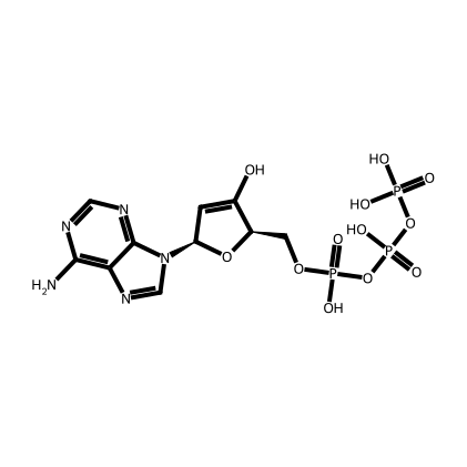 Nc1ncnc2c1ncn2[C@H]1C=C(O)[C@@H](COP(=O)(O)OP(=O)(O)OP(=O)(O)O)O1